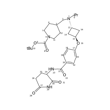 CC(C)N(CC1CCN(C(=O)OC(C)(C)C)CC1)[C@H]1C[C@H](Oc2ccc(C(=O)NC3CCC(=O)NC3=O)cc2)C1